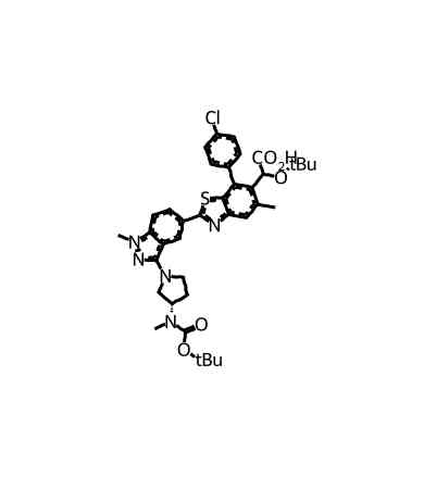 Cc1cc2nc(-c3ccc4c(c3)c(N3CC[C@H](N(C)C(=O)OC(C)(C)C)C3)nn4C)sc2c(-c2ccc(Cl)cc2)c1C(OC(C)(C)C)C(=O)O